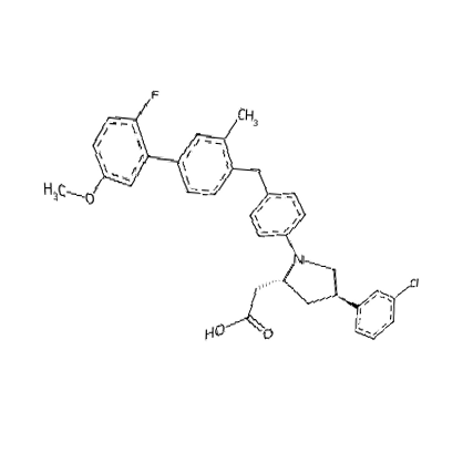 COc1ccc(F)c(-c2ccc(Cc3ccc(N4C[C@@H](c5cccc(Cl)c5)C[C@@H]4CC(=O)O)cc3)c(C)c2)c1